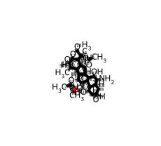 CC(=O)O[C@H]1[C@@H]2[C@H]([C@H](C)[C@H]3O[C@]34OC(=O)[C@@](C)(O)[C@]24C)[C@]2(C)[C@@H]1C1C([C@H](OC(C)=O)[C@@H]2OC(C)=O)[C@]2(C)[C@H](C[C@@H]3O[C@@H]3[C@@H]2O)[C@H](N)[C@@H]1O